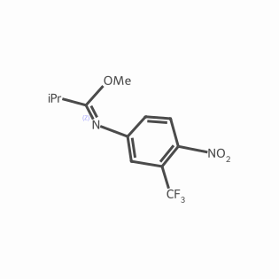 CO/C(=N\c1ccc([N+](=O)[O-])c(C(F)(F)F)c1)C(C)C